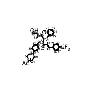 CC(=O)N1CCN(c2ccc(CN(C(=O)/C=C/c3ccc(C(F)(F)F)cc3)[C@@H](Cc3ccccc3)C(=O)N(C)CCO)cc2)CC1